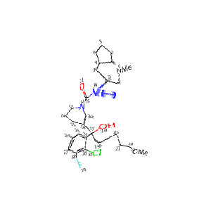 CNCC(CC1CCCC1)NC(=O)N1CCCC(C(O)(CCCCOC)c2cccc(F)c2Cl)C1